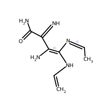 C=CNC(/N=C\C)=C(\N)C(=N)C(N)=O